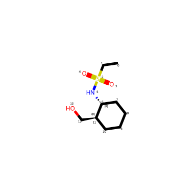 CCS(=O)(=O)N[C@@H]1CCCC[C@H]1CO